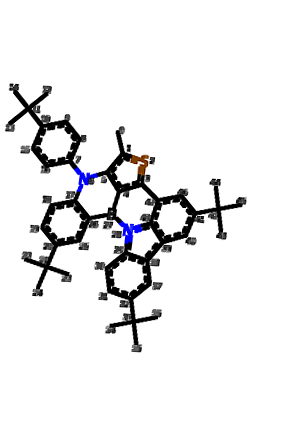 Cc1sc2c3c1N(c1ccc(C(C)(C)C)cc1)c1ccc(C(C)(C)C)cc1B3n1c3ccc(C(C)(C)C)cc3c3cc(C(C)(C)C)cc-2c31